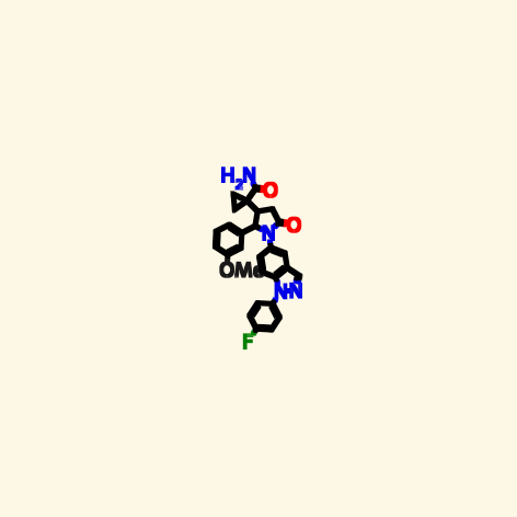 COc1cccc(C2C(C3(C(N)=O)CC3)CC(=O)N2c2ccc3c(cnn3-c3ccc(F)cc3)c2)c1